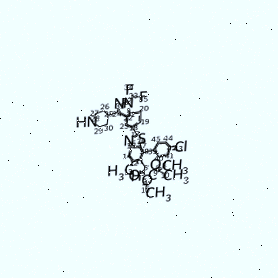 CCOC(=O)[C@@H](OC(C)(C)C)c1c(C)cc2nc(-c3ccc4c(c3)c(C3CCNCC3)nn4C(F)F)sc2c1-c1ccc(Cl)cc1